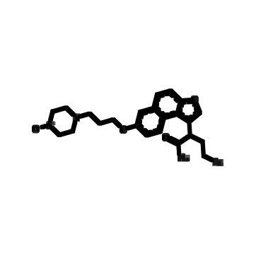 CCC(C)C(=O)C(CCC(C)=O)c1coc2ccc3cc(OCCCN4CC[S+]([O-])CC4)ccc3c12